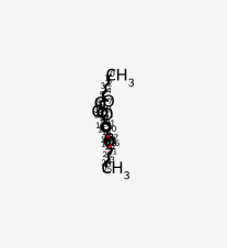 CCCC/C=C/C(=O)OC1COC(c2ccc(C34CCC(CCCCC)(CC3)CC4)cc2)CO1